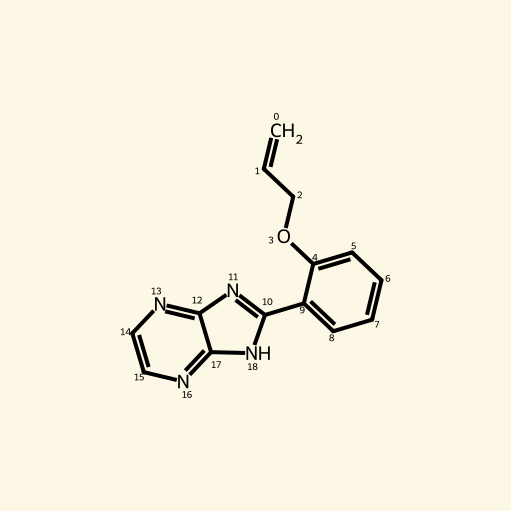 C=CCOc1ccccc1-c1nc2nccnc2[nH]1